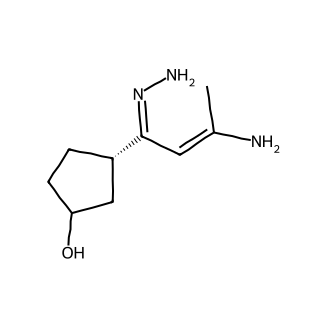 C/C(N)=C\C(=N/N)[C@H]1CCC(O)C1